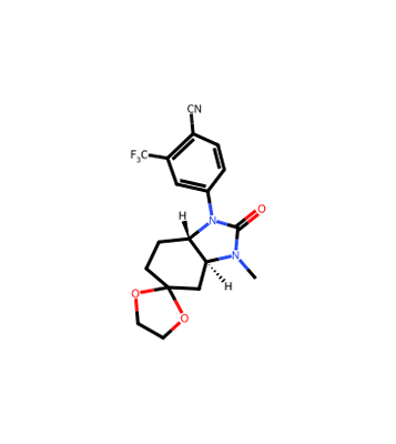 CN1C(=O)N(c2ccc(C#N)c(C(F)(F)F)c2)[C@H]2CCC3(C[C@@H]21)OCCO3